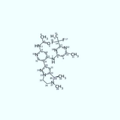 CC(=O)Nc1cc(Nc2cc(C)nc(C(C)(F)F)n2)c(-c2cc3n(n2)CCN(C)[C@@H]3C)cn1